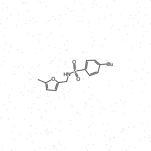 CCC(C)c1ccc(S(=O)(=O)NCc2ccc(C)o2)cc1